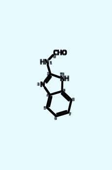 O=CNc1nc2ccccc2[nH]1